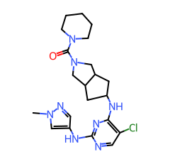 Cn1cc(Nc2ncc(Cl)c(NC3CC4CN(C(=O)N5CCCCC5)CC4C3)n2)cn1